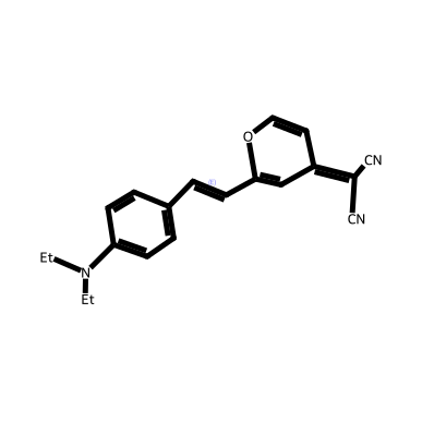 CCN(CC)c1ccc(/C=C/C2=CC(=C(C#N)C#N)C=CO2)cc1